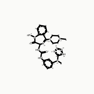 CCCN1C(=O)C(NC(=O)Nc2cccc(N(C)c3nnn[nH]3)c2)N=C(N2CCN(C)CC2)c2ccccc21